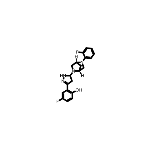 Oc1ccc(F)cc1C1=NNC(N2C[C@H]3C[C@@H]2CN3c2ccccc2F)C1